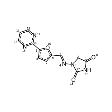 O=C1CN(N=Cc2ccc(-c3ncccn3)o2)C(=O)N1